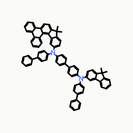 CC1(C)c2ccccc2-c2cc(N(c3ccc(-c4ccccc4)cc3)c3ccc(-c4ccc(N(c5ccc(-c6ccccc6)cc5)c5ccc6c(c5)-c5c(ccc7c8ccccc8c8ccccc8c57)C6(C)C)cc4)cc3)ccc21